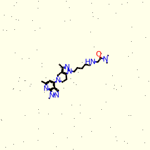 Cc1cc(N2CCc3c(c(C)nn3CCCCCNCC(=O)N(C)C)C2)c2cnn(C)c2n1